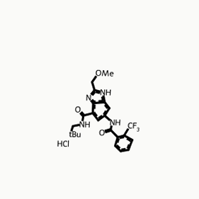 COCc1nc2c(C(=O)NCC(C)(C)C)cc(NC(=O)c3ccccc3C(F)(F)F)cc2[nH]1.Cl